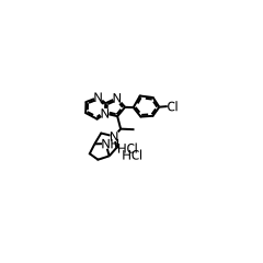 CC(c1c(-c2ccc(Cl)cc2)nc2ncccn12)N1CC2CCC(C1)N2.Cl.Cl